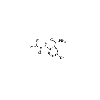 NC(=O)c1cc(Br)ccc1NC(=O)C(F)F